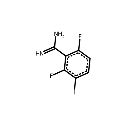 N=C(N)c1c(F)ccc(I)c1F